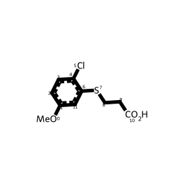 COc1ccc(Cl)c(SCCC(=O)O)c1